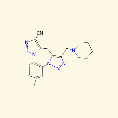 Cc1ccc2c(c1)-n1nnc(CN3CCCCC3)c1Cc1c(C#N)ncn1-2